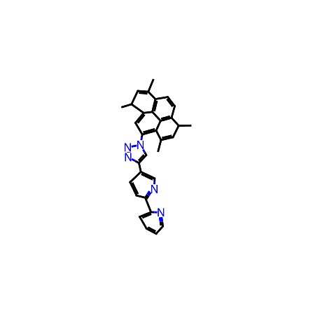 CC1=CC(C)c2cc(-n3cc(-c4ccc(-c5ccccn5)nc4)nn3)c3c4c(ccc1c24)C(C)C=C3C